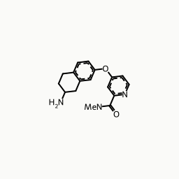 CNC(=O)c1cc(Oc2ccc3c(c2)CC(N)CC3)ccn1